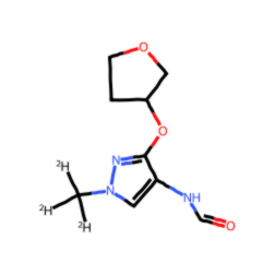 [2H]C([2H])([2H])n1cc(NC=O)c(OC2CCOC2)n1